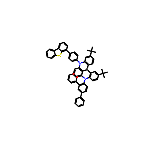 CC(C)(C)c1ccc2c(c1)B1c3ccc(C(C)(C)C)cc3N(c3ccc(-c4cccc5c4sc4ccccc45)cc3)c3cccc(c31)N2c1ccc(-c2ccccc2)cc1-c1ccccc1